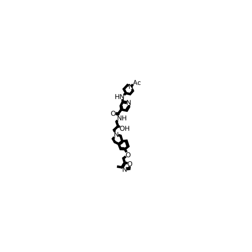 CC(=O)N1CCC(Nc2cc(C(=O)NCC(O)CN3CCc4cc(OCc5ocnc5C)ccc4C3)ccn2)CC1